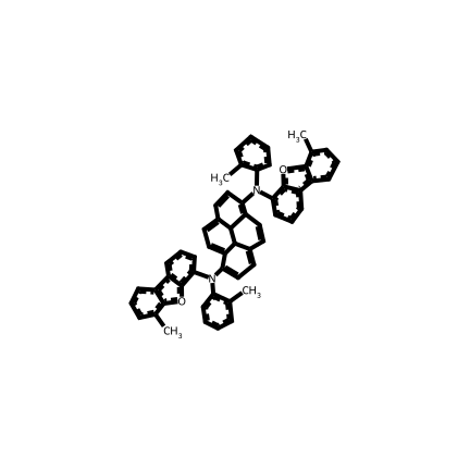 Cc1ccccc1N(C1=CC=C2C=CC3=C(N(c4ccccc4C)c4cccc5c4oc4c(C)cccc45)C=CC4=CC=C1C2C43)c1cccc2c1oc1c(C)cccc12